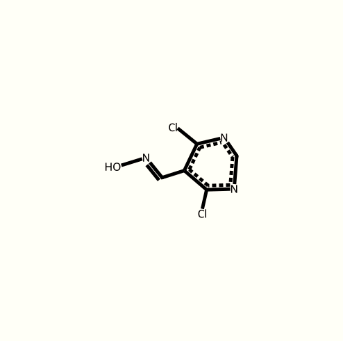 ON=Cc1c(Cl)ncnc1Cl